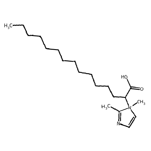 CCCCCCCCCCCCCC(C(=O)O)[N+]1(C)C=CN=C1C